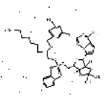 CCCCCCCCCCCCCCCC[C@H](COP(=O)(OC[C@H]1O[C@@H](c2ccc3c(N)ncnn23)[C@@H]2OC(C)(C)O[C@@H]21)Oc1ccccc1Cl)OCc1cc(F)cc(C#N)c1